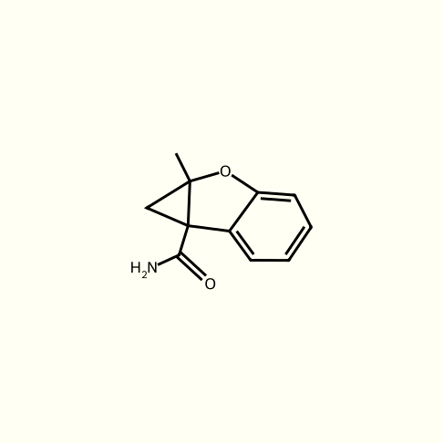 CC12CC1(C(N)=O)c1ccccc1O2